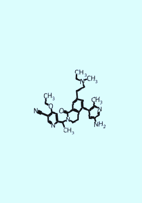 CCOc1cc(C(C)N2CCc3c(cc(CCN(C)CC)cc3-c3cc(N)cnc3C)C2=O)ncc1C#N